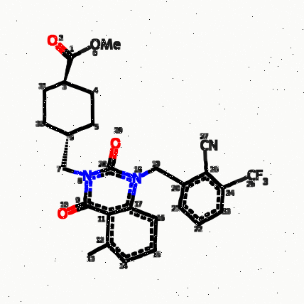 COC(=O)[C@H]1CC[C@H](Cn2c(=O)c3c(C)cccc3n(Cc3cccc(C(F)(F)F)c3C#N)c2=O)CC1